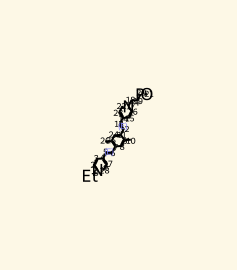 CC[n+]1ccc(/C=C/c2cc(C)c(/C=C/c3cc[n+](CCP=O)cc3)cc2C)cc1